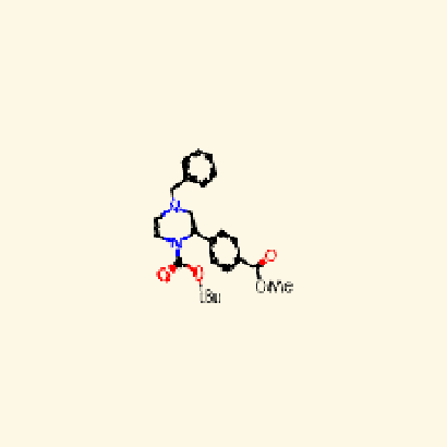 COC(=O)c1ccc(C2CN(Cc3ccccc3)CCN2C(=O)OC(C)(C)C)cc1